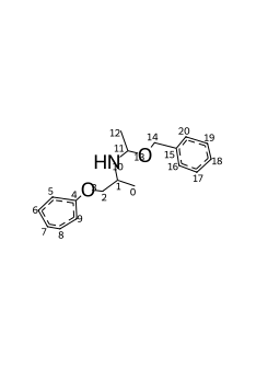 CC(COc1ccccc1)NC(C)OCc1ccccc1